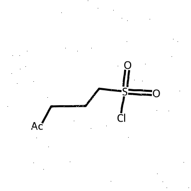 CC(=O)CCCS(=O)(=O)Cl